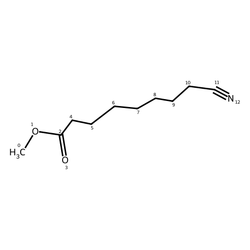 COC(=O)CCCCCCCC#N